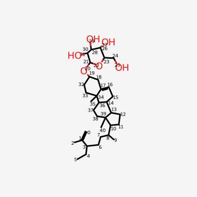 C=C(C)C(CC)CCC(C)C1CCC2C3CC=C4CC(OC5OC(CO)C(O)C(O)C5O)CCC4(C)C3CCC12C